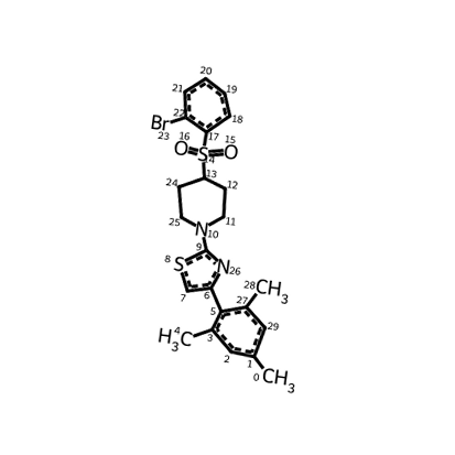 Cc1cc(C)c(-c2csc(N3CCC(S(=O)(=O)c4ccccc4Br)CC3)n2)c(C)c1